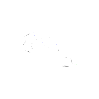 S=C(Nc1cccc(Br)c1)NC1CCN(c2nccc3ccccc23)CC1